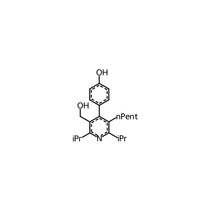 CCCCCc1c(C(C)C)nc(C(C)C)c(CO)c1-c1ccc(O)cc1